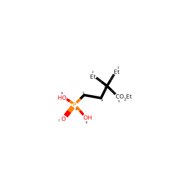 CCOC(=O)C(CC)(CC)CCP(=O)(O)O